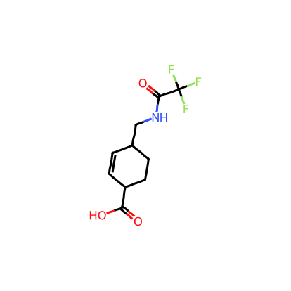 O=C(O)C1C=CC(CNC(=O)C(F)(F)F)CC1